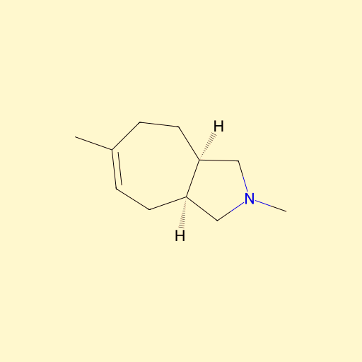 CC1=CC[C@@H]2CN(C)C[C@@H]2CC1